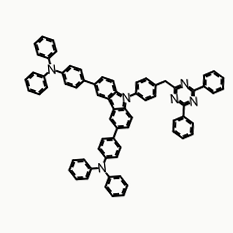 c1ccc(-c2nc(Cc3ccc(-n4c5ccc(-c6ccc(N(c7ccccc7)c7ccccc7)cc6)cc5c5cc(-c6ccc(N(c7ccccc7)c7ccccc7)cc6)ccc54)cc3)nc(-c3ccccc3)n2)cc1